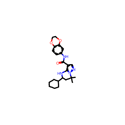 CC1(C)CC(C2CCCCC2)Nc2c(C(=O)Nc3ccc4c(c3)OCCO4)cnn21